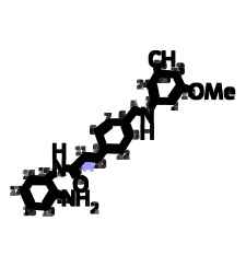 COC1=CC(NCc2ccc(/C=C/C(=O)Nc3ccccc3N)cc2)=CC(C)C1